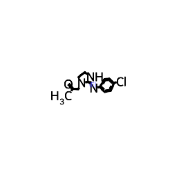 CC(=O)CN1CCN/C1=N\c1ccc(Cl)cc1